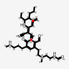 C=N/C(C=O)=C(\C=C(\CCCNC)C(=O)\N=C/C(C#N)=C(\C=C\C)NC(CC)C(CCC)OC)CCN(C)CCNC=O